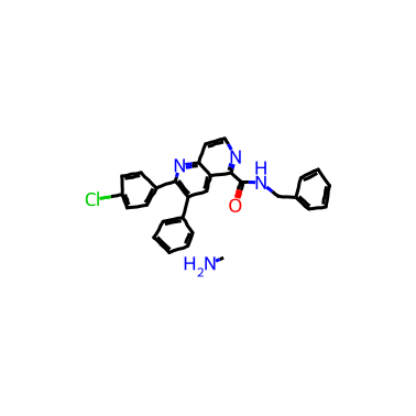 CN.O=C(NCc1ccccc1)c1nccc2nc(-c3ccc(Cl)cc3)c(-c3ccccc3)cc12